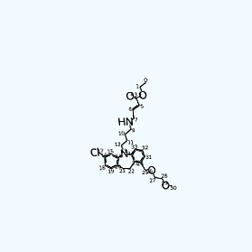 CCOC(=O)/C=C/CNCCCCN1c2cc(Cl)ccc2CCc2c(COCCOC)cccc21